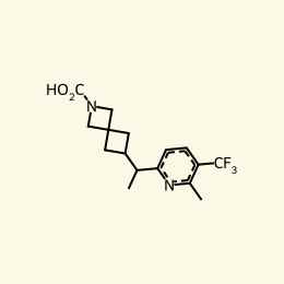 Cc1nc(C(C)C2CC3(C2)CN(C(=O)O)C3)ccc1C(F)(F)F